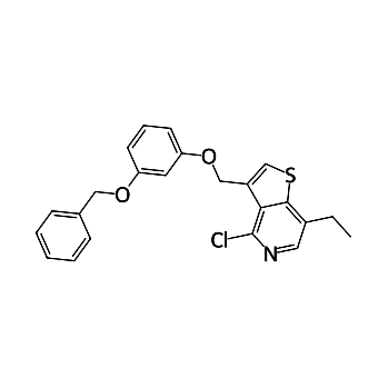 CCc1cnc(Cl)c2c(COc3cccc(OCc4ccccc4)c3)csc12